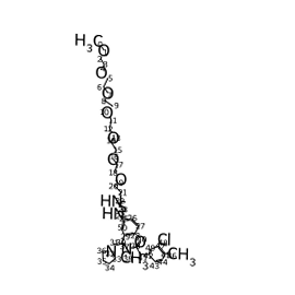 COCCOCCOCCOCCOCCOCCOCCNSNc1cccc(C(CN2CCCC2)N(C)C(=O)Cc2ccc(C)c(Cl)c2)c1